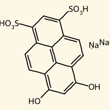 O=S(=O)(O)c1cc(S(=O)(=O)O)c2ccc3c(O)cc(O)c4ccc1c2c43.[Na].[Na]